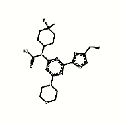 O=C(O)N(c1cc(N2CCOCC2)nc(-c2nc(CF)cs2)n1)C1CCC(F)(F)CC1